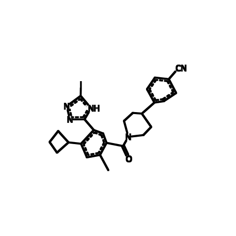 Cc1cc(C2CCC2)c(-c2nnc(I)[nH]2)cc1C(=O)N1CCC(c2ccc(C#N)cc2)CC1